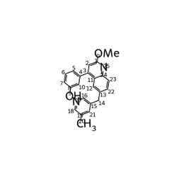 COc1cc(-c2cccc(O)c2)c2cc(Cc3cncc(C)c3)ccc2n1